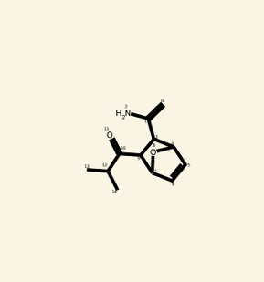 C=C(N)C1C2C=CC(O2)C1C(=O)C(C)C